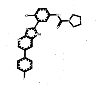 O=C(Nc1ccc(Cl)c(-c2nc3ncc(-c4ccc(F)cc4)cc3[nH]2)c1)N1CCCC1